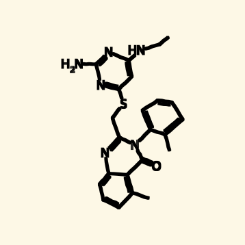 CCNc1cc(SCc2nc3cccc(C)c3c(=O)n2-c2ccccc2C)nc(N)n1